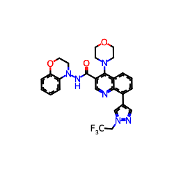 O=C(NN1CCOc2ccccc21)c1cnc2c(-c3cnn(CC(F)(F)F)c3)cccc2c1N1CCOCC1